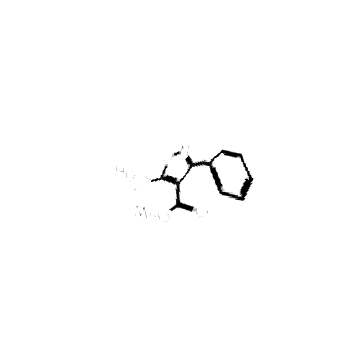 COC(=O)c1c(-c2ccccc2)noc1C(=O)O